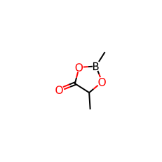 CB1OC(=O)C(C)O1